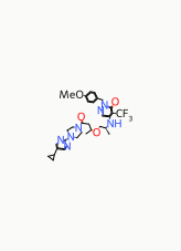 COc1ccc(Cn2ncc(N[C@@H](C)COC(C)CC(=O)N3CCN(c4ncc(C5CC5)cn4)CC3)c(C(F)(F)F)c2=O)cc1